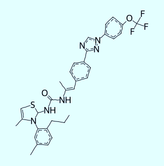 CCCc1ccc(C)cc1N1C(C)=CSC1NC(=O)N/C(C)=C/c1ccc(-c2ncn(-c3ccc(OC(F)(F)F)cc3)n2)cc1